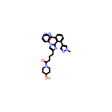 Cn1cc(-c2cccc(C(N)=O)c2-c2nc(CCCC(=O)N3CCC(O)CC3)cn2-c2ccccc2)cn1